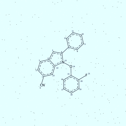 N#Cc1ccc2cc(-c3ccccc3)n(Oc3ccccc3F)c2c1